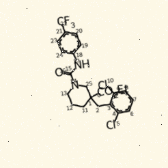 CCOC(=O)C1(Cc2c(Cl)cccc2Cl)CCCN(C(=O)Nc2ccc(C(F)(F)F)cc2)C1